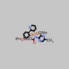 COc1nc(C)cnc1N(C(=O)OCC(C)C)S(=O)(=O)c1cccnc1-c1ccc(OC(C)C)cc1